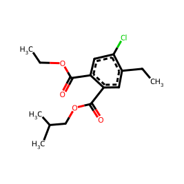 CCOC(=O)c1cc(Cl)c(CC)cc1C(=O)OCC(C)C